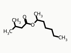 CCCCCC(C)OC(=O)CC(C)C